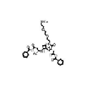 CNCCOCCOCCNC(=O)[C@H](CC(=O)OC(=O)c1ccccc1)NC1CCC1N[C@@H](CC(=O)OC(=O)c1ccccc1)C(C)=O